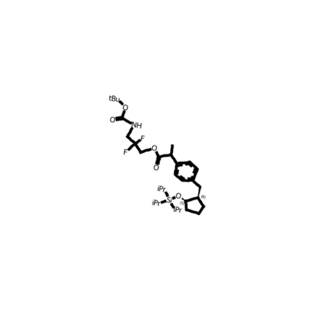 CC(C(=O)OCC(F)(F)CNC(=O)OC(C)(C)C)c1ccc(C[C@H]2CCC[C@@H]2O[Si](C(C)C)(C(C)C)C(C)C)cc1